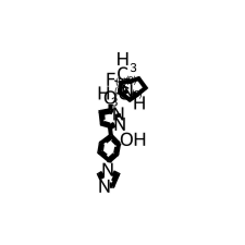 CN1[C@H]2CC[C@]1(C)[C@@H](F)[C@@H](Oc1ccc(-c3ccc(-n4ccnc4)cc3O)nn1)C2